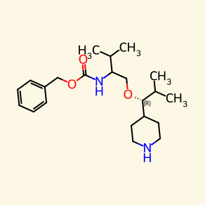 CC(C)C(CO[C@H](C(C)C)C1CCNCC1)NC(=O)OCc1ccccc1